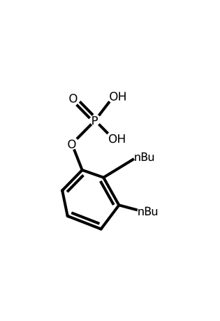 CCCCc1cccc(OP(=O)(O)O)c1CCCC